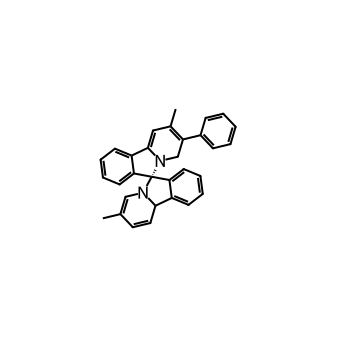 CC1=CN2C(C=C1)c1ccccc1[C@]21c2ccccc2C2=CC(C)=C(c3ccccc3)CN21